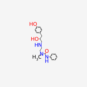 CN(CCNCC(O)Cc1ccc(O)cc1)C(=O)Nc1ccccc1